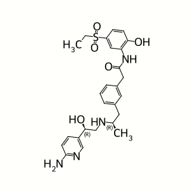 CCS(=O)(=O)c1ccc(O)c(NC(=O)Cc2cccc(C[C@@H](C)NC[C@H](O)c3ccc(N)nc3)c2)c1